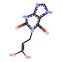 O=c1[nH]c2nc[nH]c2c(=O)n1CC=C(O)O